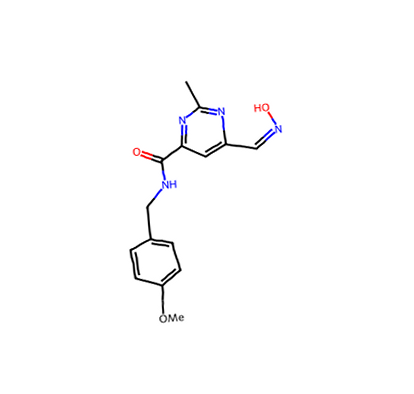 COc1ccc(CNC(=O)c2cc(/C=N\O)nc(C)n2)cc1